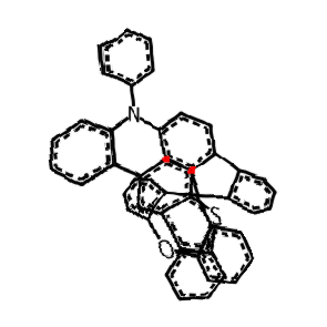 c1ccc(N(c2ccc3c(c2)C2(c4ccccc4Oc4ccccc42)c2ccccc2-3)c2ccccc2-c2ccc3sc4ccccc4c3c2)cc1